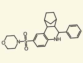 O=S(=O)(c1ccc2c(c1)C1C3CCC(C3)C1C(c1ccccc1)N2)N1CCOCC1